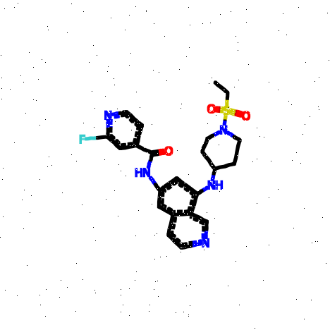 CCS(=O)(=O)N1CCC(Nc2cc(NC(=O)c3ccnc(F)c3)cc3ccncc23)CC1